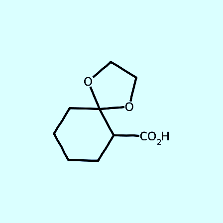 O=C(O)C1CCCCC12OCCO2